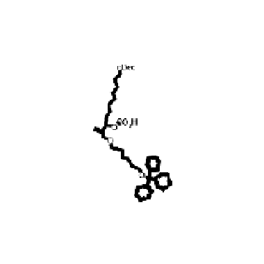 C=C(COCCCCCCOC(c1ccccc1)(c1ccccc1)c1ccccc1)C(CCCCCCCCCCCCCCCCCC)OC(=O)O